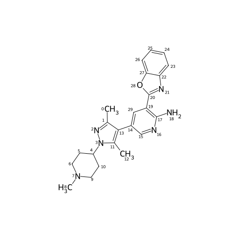 Cc1nn(C2CCN(C)CC2)c(C)c1-c1cnc(N)c(-c2nc3ccccc3o2)c1